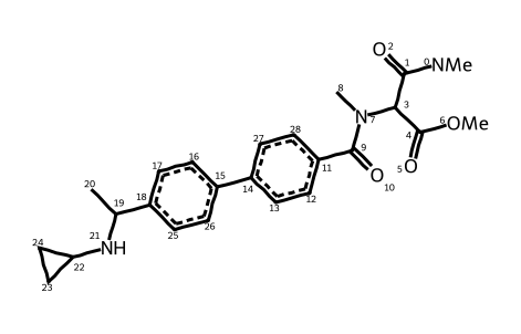 CNC(=O)C(C(=O)OC)N(C)C(=O)c1ccc(-c2ccc(C(C)NC3CC3)cc2)cc1